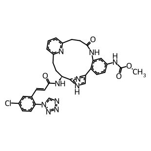 COC(=O)Nc1ccc2c(c1)NC(=O)CCc1cccc(n1)CC[C@H](NC(=O)/C=C/c1cc(Cl)ccc1-n1cnnn1)c1nc-2c[nH]1